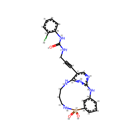 O=C(NCC#Cc1cnc2nc1NCCCNS(=O)(=O)c1cccc(c1)N2)Nc1ccccc1F